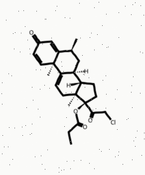 CCC(=O)O[C@]1(C(=O)CCl)CC[C@H]2[C@@H]3C[C@H](C)C4=CC(=O)C=C[C@]4(C)C3=CC[C@@]21C